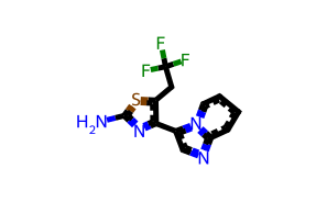 Nc1nc(-c2cnc3ccccn23)c(CC(F)(F)F)s1